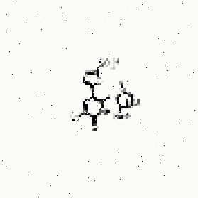 CCc1cc(-c2ccc(S(=O)(=O)O)s2)c(C)[nH]c1=O.CNC1CCN(C)C1.Cl